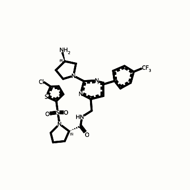 N[C@@H]1CCN(c2nc(CNC(=O)[C@@H]3CCCN3S(=O)(=O)c3ccc(Cl)s3)cc(-c3ccc(C(F)(F)F)cc3)n2)C1